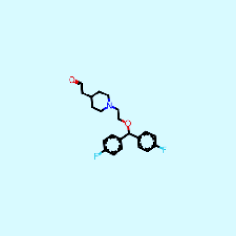 O=CCC1CCN(CCOC(c2ccc(F)cc2)c2ccc(F)cc2)CC1